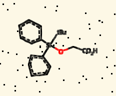 CC(C)(C)[Si](OCC(=O)O)(c1ccccc1)c1ccccc1